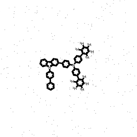 [2H]c1c([2H])c([2H])c(-c2ccc(N(c3ccc(-c4ccc5c6ccccc6n(-c6ccc(-c7ccccc7)cc6)c5c4)cc3)c3ccc(-c4c([2H])c([2H])c([2H])c([2H])c4[2H])cc3)cc2)c([2H])c1[2H]